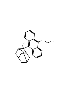 OC1(c2c3ccccc3c(OC[SiH3])c3ccccc23)C2CC3CC(C2)CC1C3